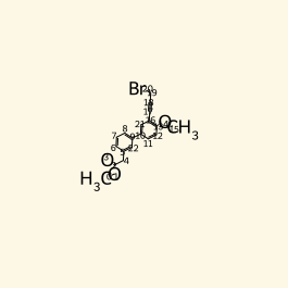 COC(=O)Cc1cccc(-c2ccc(OC)c(C#CCBr)c2)c1